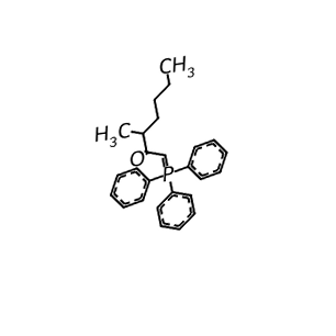 CCCCC(C)C(=O)C=P(c1ccccc1)(c1ccccc1)c1ccccc1